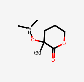 C[SiH](C)OC1(C(C)(C)C)CCCOC1=O